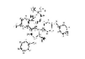 CC(C)(C)NC(=O)[C@@H]1C[C@H](Sc2ccncc2)CCN1C[C@@H](O)[C@H](Cc1ccccc1)NC(=O)c1cc(Cl)ccc1Cl